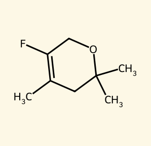 CC1=C(F)COC(C)(C)C1